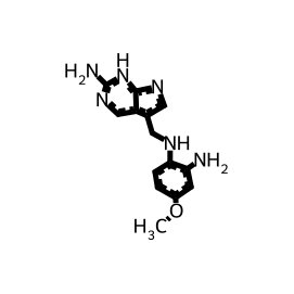 COc1ccc(NCc2cnc3[nH]c(N)ncc2-3)c(N)c1